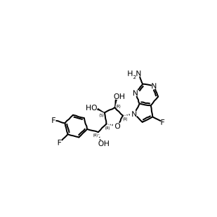 Nc1ncc2c(F)cn([C@@H]3O[C@H]([C@H](O)c4ccc(F)c(F)c4)[C@@H](O)[C@H]3O)c2n1